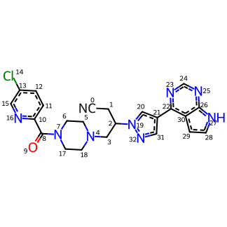 N#CCC(CN1CCN(C(=O)c2ccc(Cl)cn2)CC1)n1cc(-c2ncnc3[nH]ccc23)cn1